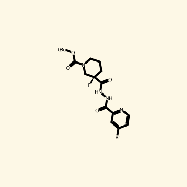 CC(C)(C)OC(=O)N1CCC[C@](F)(C(=O)NNC(=O)c2cc(Br)ccn2)C1